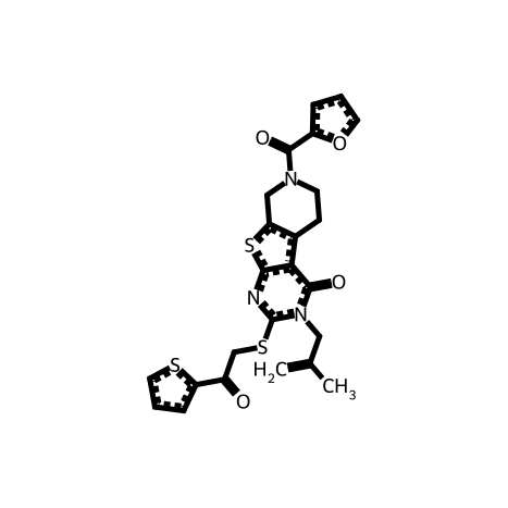 C=C(C)Cn1c(SCC(=O)c2cccs2)nc2sc3c(c2c1=O)CCN(C(=O)c1ccco1)C3